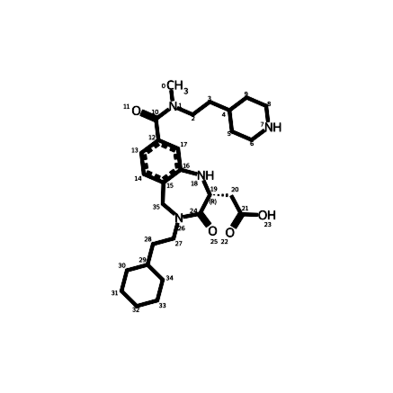 CN(CCC1CCNCC1)C(=O)c1ccc2c(c1)N[C@H](CC(=O)O)C(=O)N(CCC1CCCCC1)C2